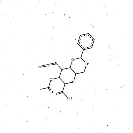 CC(=O)OC1C(C(=O)O)OC2COC(c3ccccc3)OC2C1N=[N+]=[N-]